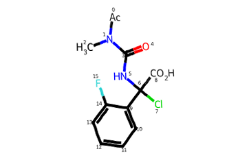 CC(=O)N(C)C(=O)NC(Cl)(C(=O)O)c1ccccc1F